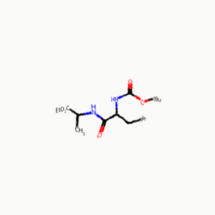 CCOC(=O)C(C)NC(=O)C(CC(C)C)NC(=O)OC(C)(C)C